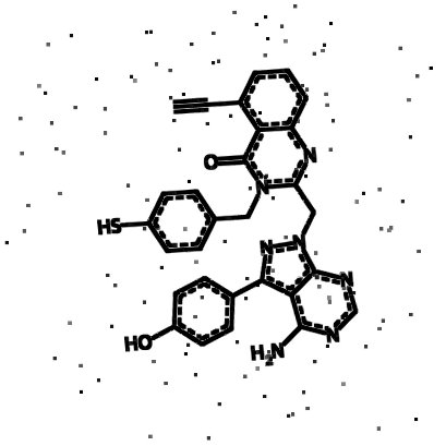 C#Cc1cccc2nc(Cn3nc(-c4ccc(O)cc4)c4c(N)ncnc43)n(Cc3ccc(S)cc3)c(=O)c12